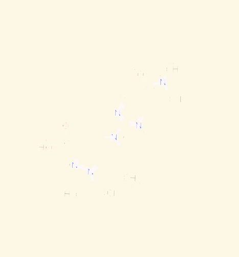 CC(C)n1nc(C(=O)O)c2c1[C@@H](C)CN(c1ncc(C(=O)N(C)C)cn1)C2